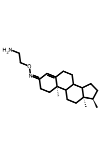 C[C@@H]1CCC2C3CCC4=CC(=NOCCN)CC[C@]4(C)C3CC[C@@]21C